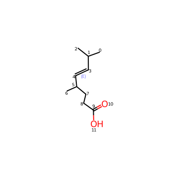 CC(C)/C=C/C(C)CCC(=O)O